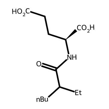 CCCCC(CC)C(=O)N[C@@H](CCC(=O)O)C(=O)O